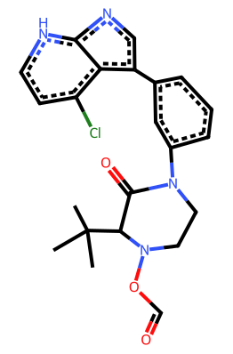 CC(C)(C)C1C(=O)N(c2cccc(-c3cnc4[nH]ccc(Cl)c3-4)c2)CCN1OC=O